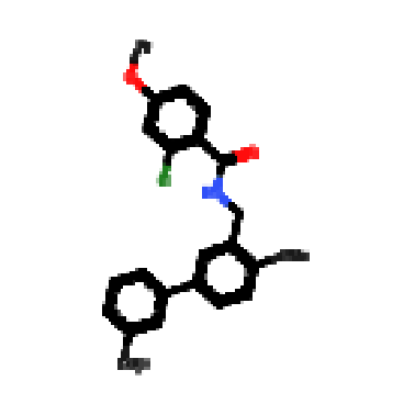 COc1ccc(-c2cccc(C(=O)O)c2)cc1CNC(=O)c1ccc(OC(C)C)cc1Cl